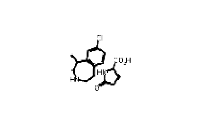 CC1CNCCc2ccc(Cl)cc21.O=C1CCC(C(=O)O)N1